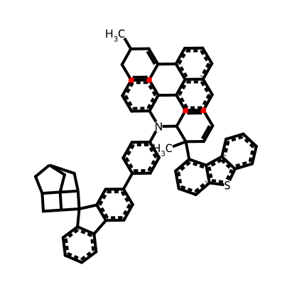 CC1C=C(c2cccc3cccc(-c4ccccc4N(c4ccc(-c5ccc6c(c5)C5(c7ccccc7-6)C6CC7CC8CC5C86C7)cc4)C4C=CC=CC4(C)c4cccc5sc6ccccc6c45)c23)C=CC1